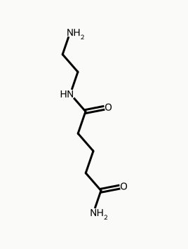 NCCNC(=O)CCCC(N)=O